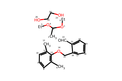 CCOC(C)OCC.Cc1cccc(C)c1OCc1ccccc1C=O.OCCO